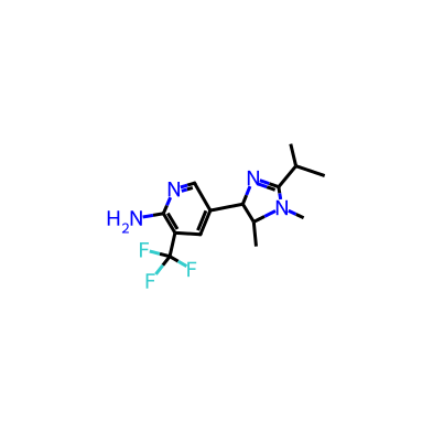 CC(C)C1=NC(c2cnc(N)c(C(F)(F)F)c2)C(C)N1C